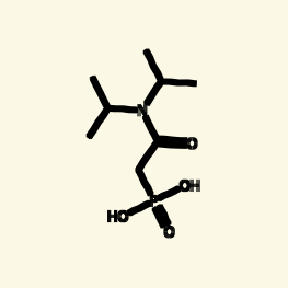 CC(C)N(C(=O)CP(=O)(O)O)C(C)C